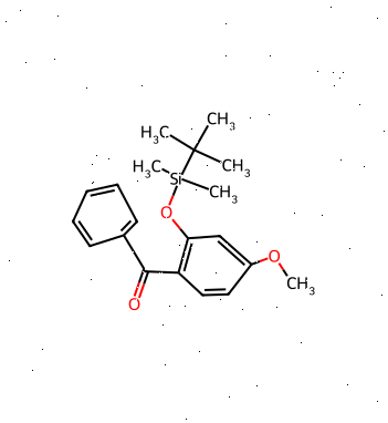 COc1ccc(C(=O)c2ccccc2)c(O[Si](C)(C)C(C)(C)C)c1